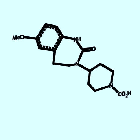 COc1ccc2c(c1)CCN(C1CCN(C(=O)O)CC1)C(=O)N2